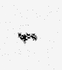 CC1=C(C(=O)N2CCN(c3cc(C(F)(F)F)ncn3)CC2C)C2(CCN(C(C)(C)C)CC2)OC1=O